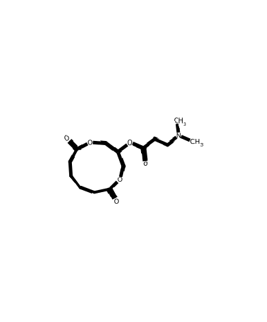 CN(C)CCC(=O)OC1COC(=O)CCCCC(=O)OC1